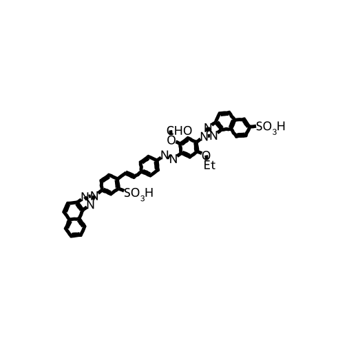 CCOc1cc(N=Nc2ccc(C=Cc3ccc(-n4n5c6ccc7ccccc7c6n45)cc3S(=O)(=O)O)cc2)c(OC=O)cc1-n1n2c3ccc4cc(S(=O)(=O)O)ccc4c3n12